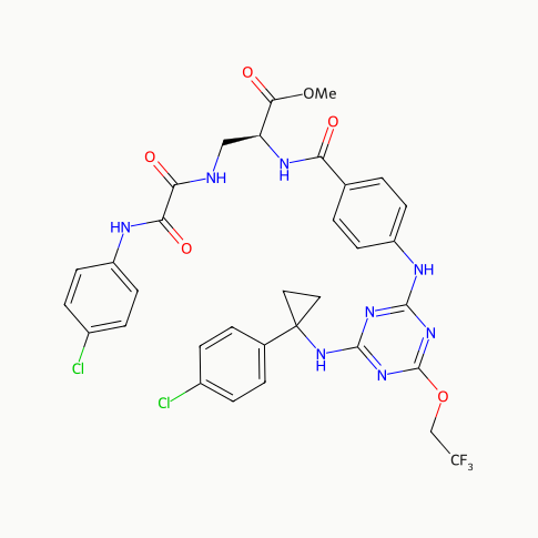 COC(=O)[C@H](CNC(=O)C(=O)Nc1ccc(Cl)cc1)NC(=O)c1ccc(Nc2nc(NC3(c4ccc(Cl)cc4)CC3)nc(OCC(F)(F)F)n2)cc1